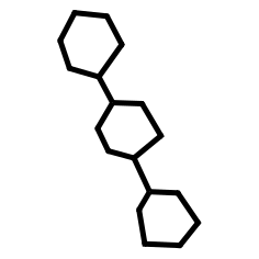 C1CCC(C2CCC(C3CCCCC3)CC2)CC1